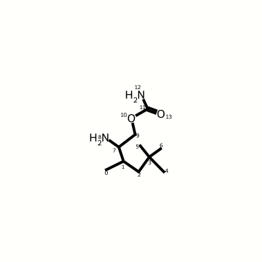 CC(CC(C)(C)C)C(N)COC(N)=O